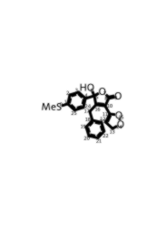 CSc1ccc(C2(O)OC(=O)C(C3=CCOO3)=C2Cc2ccccc2)cc1